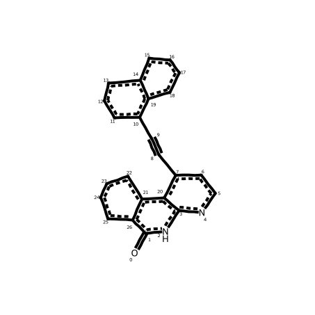 O=c1[nH]c2nccc(C#Cc3cccc4ccccc34)c2c2ccccc12